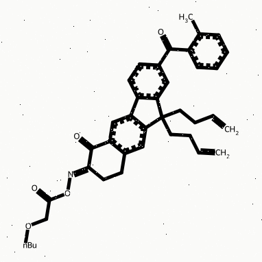 C=CCCC1(CCC=C)c2cc(C(=O)c3ccccc3C)ccc2-c2cc3c(cc21)CC/C(=N\OC(=O)COCCCC)C3=O